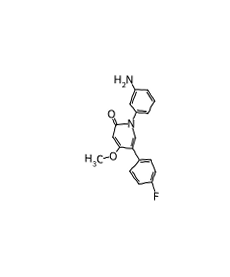 COc1cc(=O)n(-c2cccc(N)c2)cc1-c1ccc(F)cc1